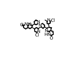 Cc1cc(-c2cc3ccc(=O)[nH]c3nc2-c2ccnc(-c3cc(-c4cc5ccc(=O)[nH]c5nc4-c4ccncc4)cc(Cl)n3)c2)cc(Cl)n1